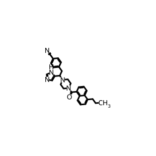 CCCc1cccc2c(C(=O)N3CCN(C(Cc4ccc(C#N)cc4)c4cnc[nH]4)CC3)cccc12